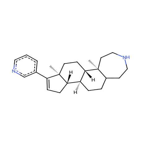 C[C@]12CCNCCC1CC[C@@H]1[C@@H]2CC[C@]2(C)C(c3cccnc3)=CC[C@@H]12